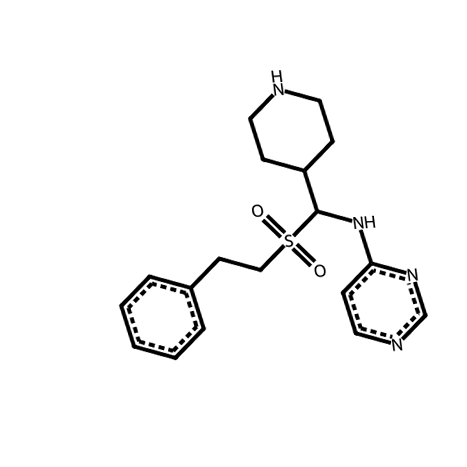 O=S(=O)(CCc1ccccc1)C(Nc1ccncn1)C1CCNCC1